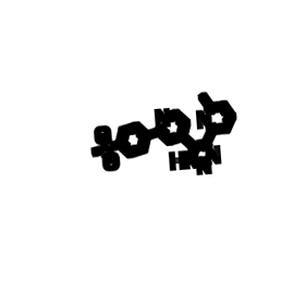 Cc1cccc(-c2nn[nH]c2-c2ccnc(-c3ccc(S(C)(=O)=O)cc3)c2)n1